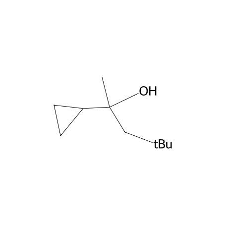 CC(C)(C)CC(C)(O)C1CC1